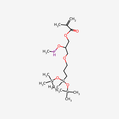 C=C(C)C(=O)OCC(COCCC[Si](C)(O[Si](C)(C)C)O[Si](C)(C)C)OPC